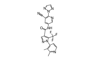 Cc1nccc(-n2ncc(C(=O)Nc3cnc(-n4nccn4)c(C#N)c3)c2C(F)(F)F)c1C